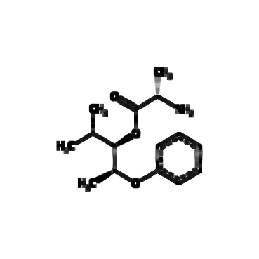 CC(C)[C@@H](OC(=O)[C@H](C)N)[C@H](C)Oc1ccccc1